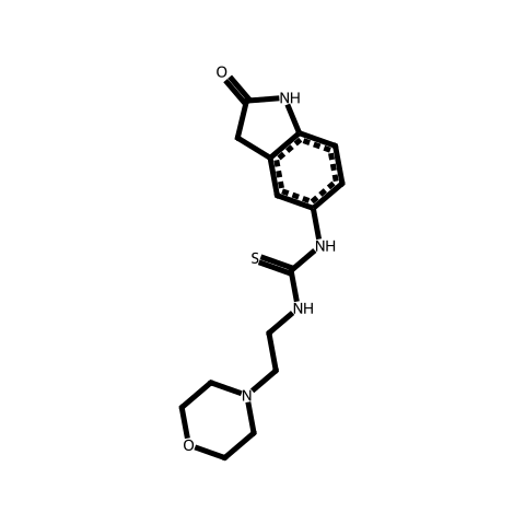 O=C1Cc2cc(NC(=S)NCCN3CCOCC3)ccc2N1